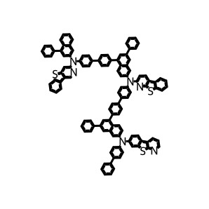 c1ccc(-c2ccc(N(c3ccc4c(-c5ccc(-c6ccc(N(c7ccc8c(-c9ccc(-c%10ccc(N(c%11cc(-c%12ccccc%12)c%12ccccc%12c%11)c%11cc%12sc%13ccccc%13c%12cn%11)cc%10)cc9)cc(-c9ccccc9)cc8c7)c7ccc8c(n7)sc7ccccc78)cc6)cc5)cc(-c5ccccc5)cc4c3)c3ccc4c(c3)sc3ncccc34)cc2)cc1